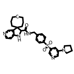 O=C(NCc1ccc(S(=O)(=O)c2cncc(N3CCCC3)c2)cc1)C1Nc2ccncc2C12CCCCCCC2